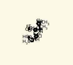 COc1cc(C(C)(C)c2cnc(SCc3c(F)cc(NC4CC[N+](C)(CC(=O)O)CC4)cc3Cl)n2-c2ccc(F)cc2)ccc1Cl.O=C([O-])C(F)(F)F